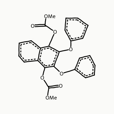 COC(=O)Oc1c(Oc2ccccc2)c(Oc2ccccc2)c(OC(=O)OC)c2ccccc12